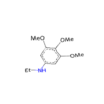 [CH2]CNc1cc(OC)c(OC)c(OC)c1